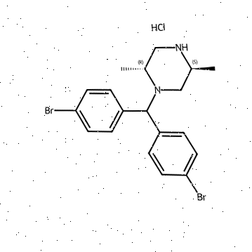 C[C@@H]1CN[C@@H](C)CN1C(c1ccc(Br)cc1)c1ccc(Br)cc1.Cl